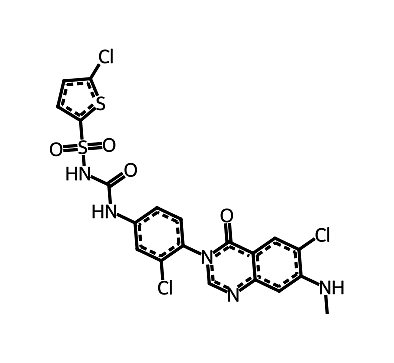 CNc1cc2ncn(-c3ccc(NC(=O)NS(=O)(=O)c4ccc(Cl)s4)cc3Cl)c(=O)c2cc1Cl